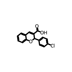 O=C(O)C1=Cc2ccccc2OC1c1ccc(Cl)cc1